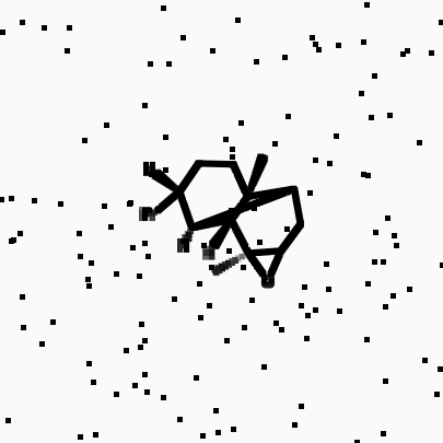 CC(C)[C@@H]1CC[C@]2(C)C3CC4O[C@@]4(C)[C@@H]2[C@H]31